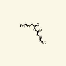 CCC=NCC(=O)OC(=O)CN=CCC